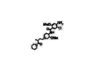 COc1cc(N)c(Cl)cc1C(=O)NC1CCN(CCC(C)C(=O)N2CCCCC2)CC1OC